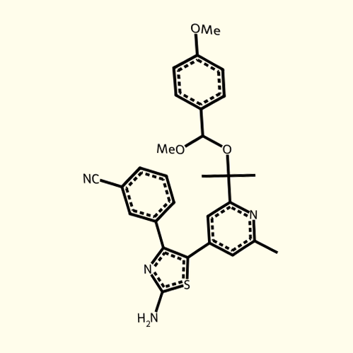 COc1ccc(C(OC)OC(C)(C)c2cc(-c3sc(N)nc3-c3cccc(C#N)c3)cc(C)n2)cc1